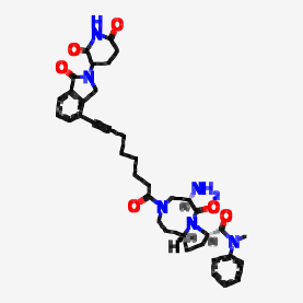 CN(C(=O)[C@@H]1CC[C@@H]2CCN(C(=O)CCCCCC#Cc3cccc4c3CN(C3CCC(=O)NC3=O)C4=O)C[C@H](N)C(=O)N21)c1ccccc1